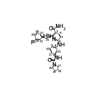 NC(=O)c1ccc(Nc2cccc(NC(=O)N3CCCC3)c2)nc1NCc1cccc(F)c1